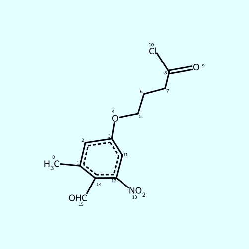 Cc1cc(OCCCC(=O)Cl)cc([N+](=O)[O-])c1C=O